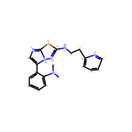 CN(C)c1ccccc1-c1cnc2sc(NCCc3ccccn3)nn12